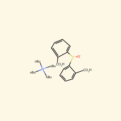 CCCC[N+](CCCC)(CCCC)CCCC.O=C(O)c1ccccc1[S+]([O-])c1ccccc1C(=O)O